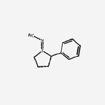 N#C/N=S1\CCCC1c1ccccc1